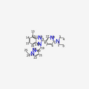 CCN(CC)c1ccc(-c2nc3c(C)cccc3n2Cc2ccn(CC)n2)cn1